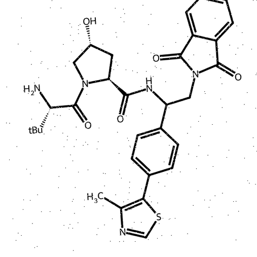 Cc1ncsc1-c1ccc(C(CN2C(=O)c3ccccc3C2=O)NC(=O)[C@@H]2C[C@@H](O)CN2C(=O)[C@@H](N)C(C)(C)C)cc1